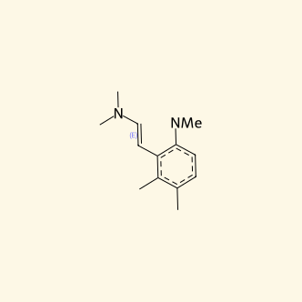 CNc1ccc(C)c(C)c1/C=C/N(C)C